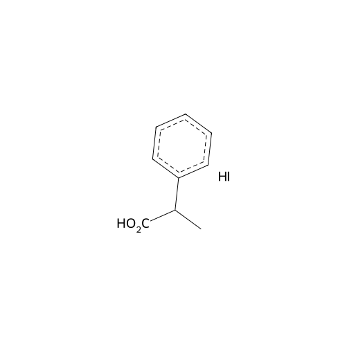 CC(C(=O)O)c1ccccc1.I